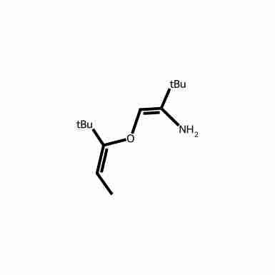 C/C=C(\O/C=C(\N)C(C)(C)C)C(C)(C)C